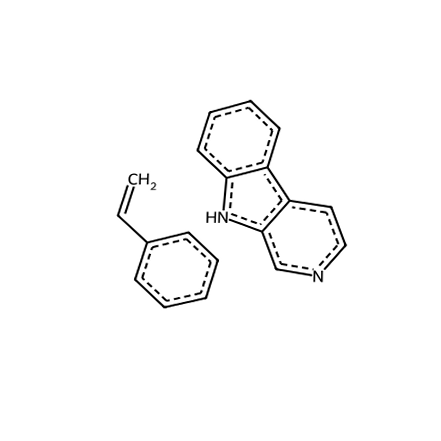 C=Cc1ccccc1.c1ccc2c(c1)[nH]c1cnccc12